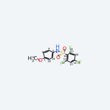 COc1ccc(NS(=O)(=O)c2c(F)cc(F)cc2F)cc1